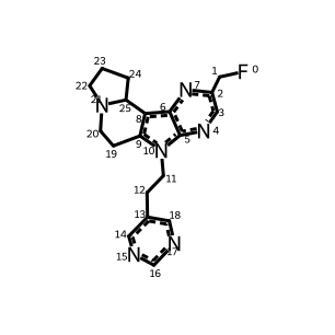 FCc1cnc2c(n1)c1c(n2CCc2cncnc2)CCN2CCCC12